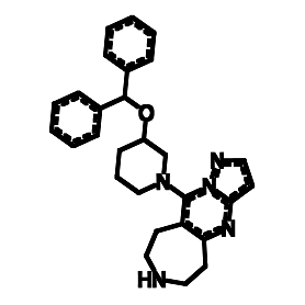 c1ccc(C(OC2CCCN(c3c4c(nc5ccnn35)CCNCC4)C2)c2ccccc2)cc1